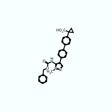 Cn1ncc(-c2ccc(-c3ccc(C4(C(=O)O)CC4)cc3)cc2)c1NC(=O)OCc1ccccc1